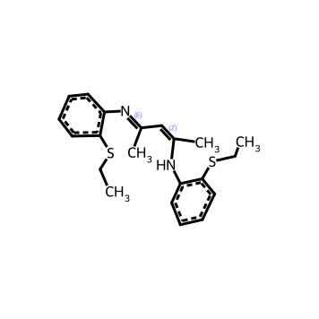 CCSc1ccccc1/N=C(C)/C=C(/C)Nc1ccccc1SCC